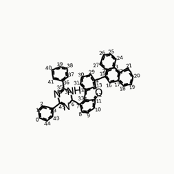 c1ccc(C2=NC(c3cccc4oc5c(-c6cc7ccccc7c7ccccc67)cccc5c34)NC(c3ccccc3)=N2)cc1